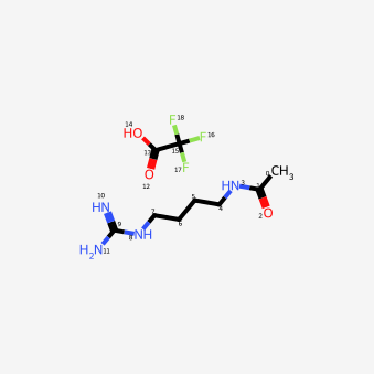 CC(=O)NCCCCNC(=N)N.O=C(O)C(F)(F)F